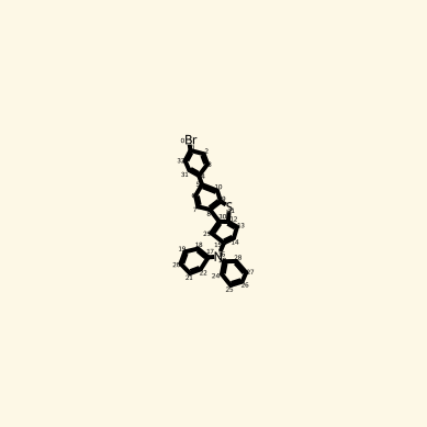 Brc1ccc(-c2ccc3c(c2)sc2ccc(N(c4ccccc4)c4ccccc4)cc23)cc1